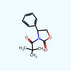 CC(C)(C)C(=O)N1C(=O)OCC1c1ccccc1